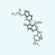 COc1nc(N[C@@H]2CCN(C)CC2(F)F)nn2cc(F)c(-c3ccc4nnn(C[C@H](C)F)c4c3)c12